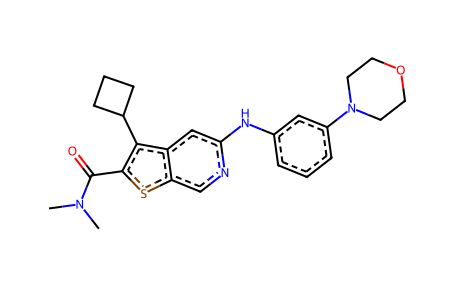 CN(C)C(=O)c1sc2cnc(Nc3cccc(N4CCOCC4)c3)cc2c1C1CCC1